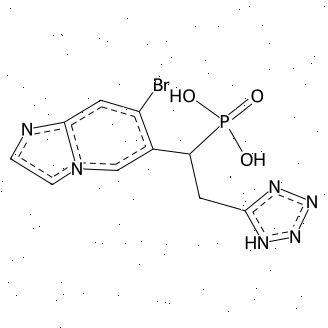 O=P(O)(O)C(Cc1nnn[nH]1)c1cn2ccnc2cc1Br